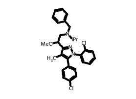 COC(CN(Cc1ccccc1)C(C)C)c1nn(-c2ccccc2Cl)c(-c2ccc(Cl)cc2)c1C